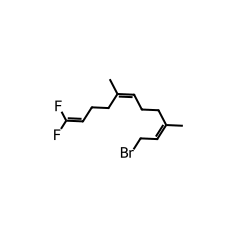 CC(=CCBr)CCC=C(C)CCC=C(F)F